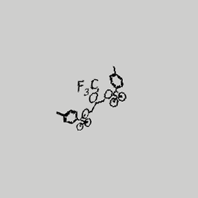 Cc1ccc(S(=O)(=O)OCC(COS(=O)(=O)c2ccc(C)cc2)OCC(F)(F)F)cc1